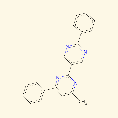 Cc1cc(-c2ccccc2)nc(-c2cnc(-c3ccccc3)nc2)n1